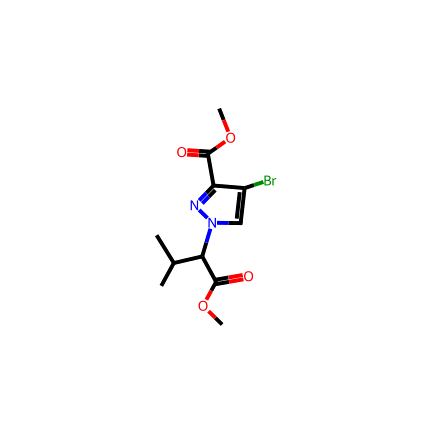 COC(=O)c1nn(C(C(=O)OC)C(C)C)cc1Br